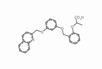 CC(Oc1ccccc1COc1cccc(OCc2ccc3ccccc3n2)c1)C(=O)O